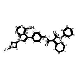 CC(=O)N1CC(n2cc(-c3ccc(NC(=O)c4c5n(n(-c6ccccc6)c4=O)CCCC5)cc3)c3c(N)ncnc32)C1